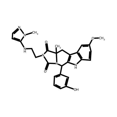 COc1ccc2[nH]c3c(c2c1)CC1(C)C(=O)N(CCNc2ccnn2C)C(=O)N1C3c1cccc(O)c1